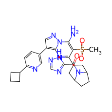 CS(=O)(=O)c1c(C2CC3CCC(C2)N3C(=O)c2ncn[nH]2)nc2c(-c3ccc(C4CCC4)nc3)cnn2c1N